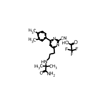 Cc1ccc(-c2cc(CCCNC(C)(C)C(N)=O)nc(C#N)n2)cc1C.O=C(O)C(F)(F)F